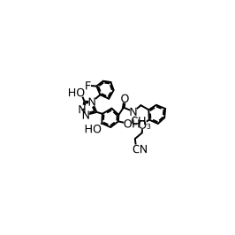 CN(Cc1ccccc1OCCC#N)C(=O)c1cc(-c2nnc(O)n2-c2ccccc2F)c(O)cc1O